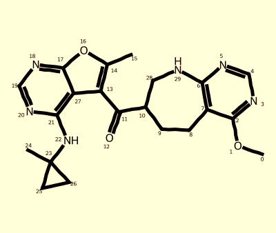 COc1ncnc2c1CCC(C(=O)c1c(C)oc3ncnc(NC4(C)CC4)c13)CN2